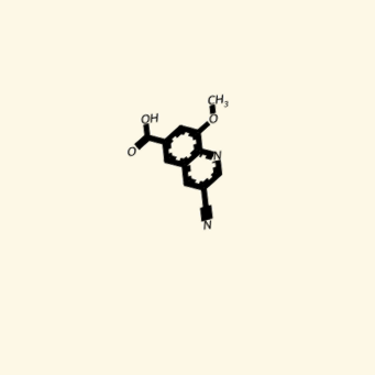 COc1cc(C(=O)O)cc2cc(C#N)cnc12